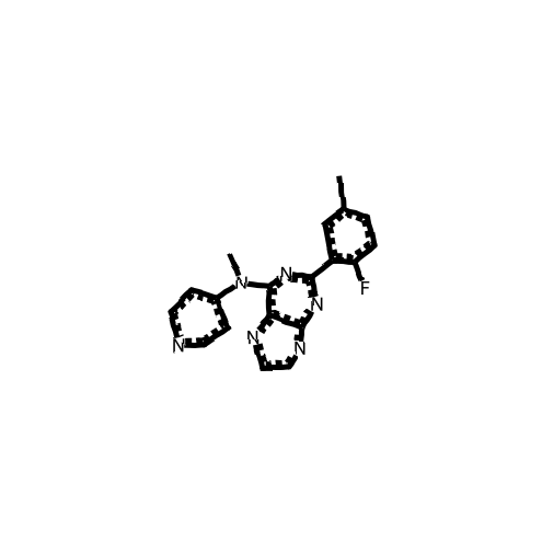 Cc1ccc(F)c(-c2nc(N(C)c3ccncc3)c3nccnc3n2)c1